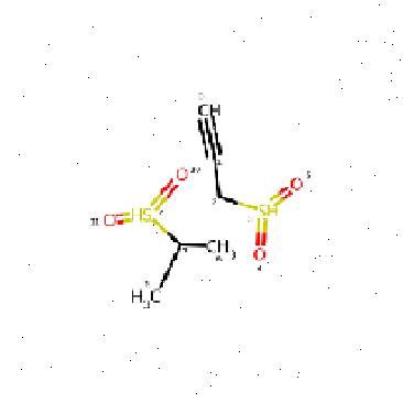 C#CC[SH](=O)=O.CC(C)[SH](=O)=O